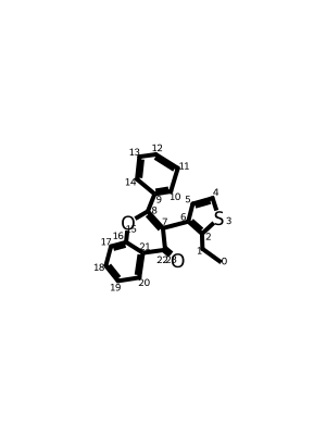 CCc1sccc1-c1c(-c2ccccc2)oc2ccccc2c1=O